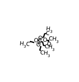 CCCO[Si](OCCC)(OCCC)C(CC)OC(C)=O